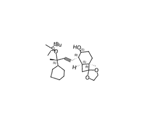 CC(C)(C)[Si](C)(C)O[C@](C)(C#C[C@@H]1[C@@H](O)CC[C@]2(C)[C@H]1CC21OCCO1)C1CCCCC1